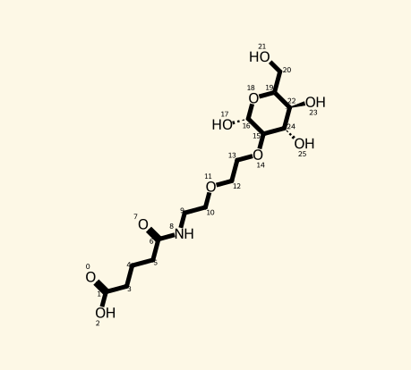 O=C(O)CCCC(=O)NCCOCCOC1[C@H](O)OC(CO)[C@@H](O)[C@@H]1O